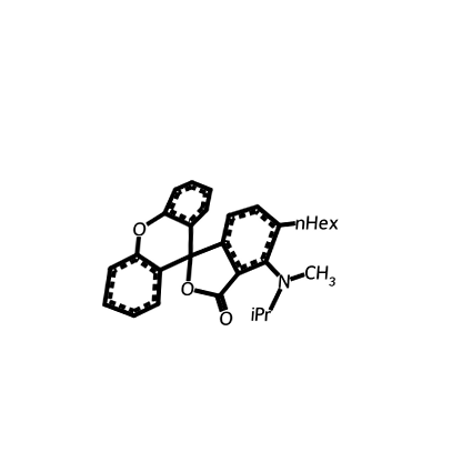 CCCCCCc1ccc2c(c1N(C)C(C)C)C(=O)OC21c2ccccc2Oc2ccccc21